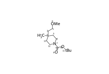 COCCC1(C)CCN(C(=O)OC(C)(C)C)CC1